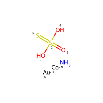 N.O=S(O)(O)=S.[Au].[Co]